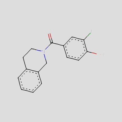 O=C(c1ccc(O)c(F)c1)N1CCc2ccccc2C1